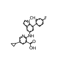 Cn1ccc2cc(Nc3ncc(C4CC4)cc3C(=O)O)cc(-c3ccc(F)cc3)c21